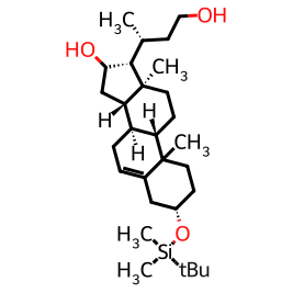 C[C@H](CCO)[C@H]1C(O)C[C@H]2[C@@H]3CC=C4C[C@@H](O[Si](C)(C)C(C)(C)C)CCC4(C)[C@H]3CC[C@]12C